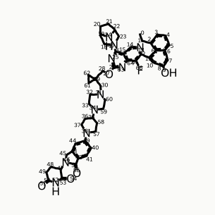 CCc1cccc2cc(O)cc(-c3ncc4c(N5CC6CCC(C5)N6)nc(OCC5(CN6CCN(C7CCN(c8ccc9c(c8)CN(C8CCC(=O)NC8=O)C9=O)CC7)CC6)CC5)nc4c3F)c12